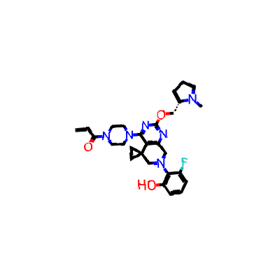 C=CC(=O)N1CCN(c2nc(OC[C@@H]3CCCN3C)nc3c2C2(CC2)CN(c2c(O)cccc2F)C3)CC1